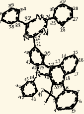 CC1(C)c2ccccc2-c2c1c1c(c3ccccc23)c2cc(-c3nc(-c4ccccc4)nc(-c4ccccc4)n3)ccc2n1-c1ccccc1